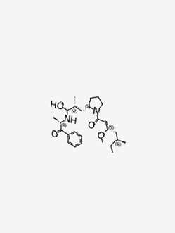 CC[C@H](C)C[C@@H](CC(=O)N1CCC[C@H]1C[C@@H](C)C(O)N[C@H](C)C(=O)c1ccccc1)OC